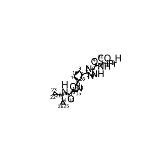 CC(C)C(NC(=O)c1nc(-c2cccc(-c3ncc(C(=O)NC(C4CC4)C4CC4)o3)c2)n[nH]1)C(=O)O